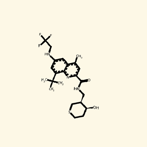 Cc1cc(C(=O)NC[C@@H]2CSCC[C@@H]2O)nc2c(C(C)(C)C)cc(NCC(F)(F)F)cc12